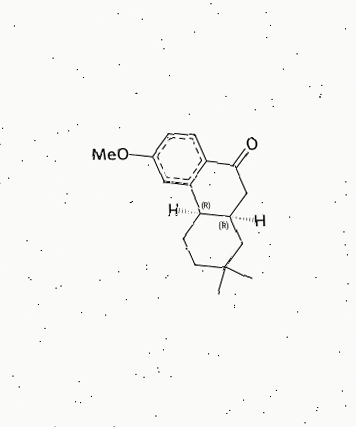 COc1ccc2c(c1)[C@@H]1CCC(C)(C)C[C@@H]1CC2=O